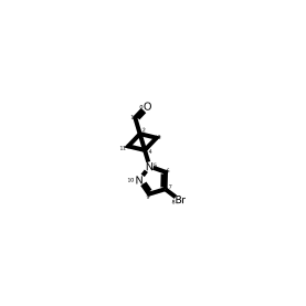 O=CC12CC1(n1cc(Br)cn1)C2